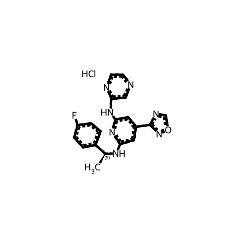 C[C@H](Nc1cc(-c2ncon2)cc(Nc2cnccn2)n1)c1ccc(F)cc1.Cl